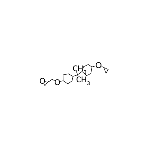 CC(C)(C1CCC(OCC2CO2)CC1)C1CCC(OC2CC2)CC1